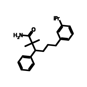 CC(C)c1cccc(CCCC(c2ccccc2)C(C)(C)C(N)=O)c1